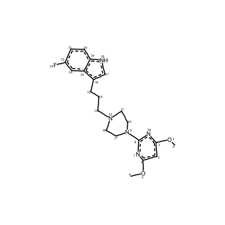 COc1cc(OC)nc(N2CCN(CCCc3c[nH]c4ccc(F)cc34)CC2)n1